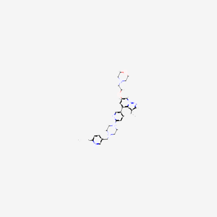 COc1ccc(CN2CCN(c3ccc(-c4cc(OCCN5CCOCC5)cn5ncc(C#N)c45)cn3)CC2)cn1